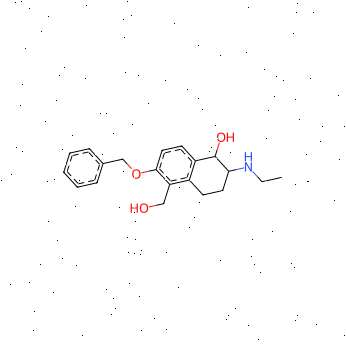 CCNC1CCc2c(ccc(OCc3ccccc3)c2CO)C1O